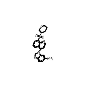 Nc1ccc2c(c1)N(c1ccnc3c(S(=O)(=O)[C@@H]4CCCOC4)cccc13)CS2